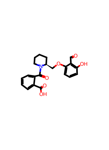 O=Cc1c(O)cccc1OC[C@@H]1CCCCN1C(=O)c1ccccc1C(=O)O